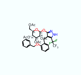 CC(=O)OC[C@H]1O[C@@H](Oc2n[nH]c(C(F)(F)C(F)(F)F)c2Cc2ccccc2OCc2ccccc2)[C@H](OC(C)=O)[C@@H](OC(C)=O)[C@@H]1OC(C)=O